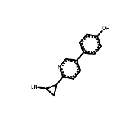 NC1CC1c1ccc(-c2ccc(O)cc2)cn1